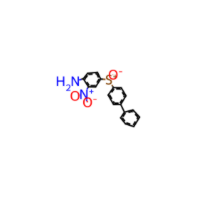 Nc1ccc([S+]([O-])c2ccc(-c3ccccc3)cc2)cc1[N+](=O)[O-]